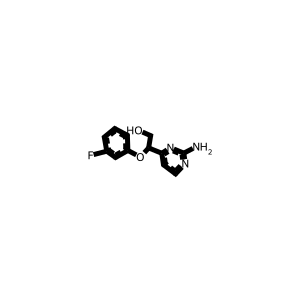 Nc1nccc(C(CO)Oc2cccc(F)c2)n1